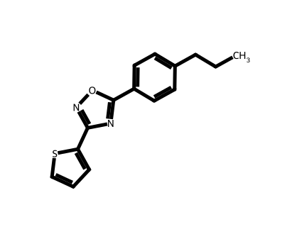 CCCc1ccc(-c2nc(-c3cccs3)no2)cc1